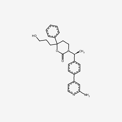 C[C@@H](c1ccc(-c2ccnc(N)c2)cc1)N1CCC(CCCO)(c2ccccc2)OC1=O